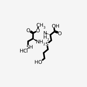 COC(=O)[C@@H](N)CS.Cl.N[C@@H](CSCCCO)C(=O)O